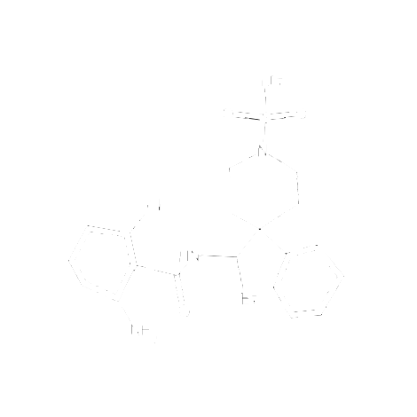 CCCS(=O)(=O)N1CCC(c2ccccc2)(C(CC)NC(=O)c2c(N)cccc2Cl)CC1